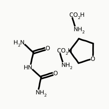 C1CCOC1.NC(=O)NC(N)=O.NC(=O)O.NC(=O)O